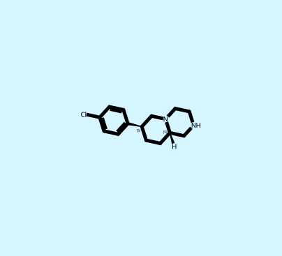 Clc1ccc([C@@H]2CC[C@H]3CNCCN3C2)cc1